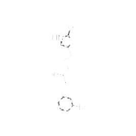 O=c1[nH]cc(CSCC(Br)COc2cccc(Br)c2)o1